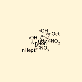 CCCCCCCC(CO)(CCCCCC)[N+](=O)[O-].CCCCCCCCCC(CO)(CCCCCCCC)[N+](=O)[O-]